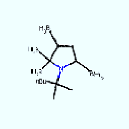 BC1CC(B)C(B)(B)N1C(C)(C)CCCC